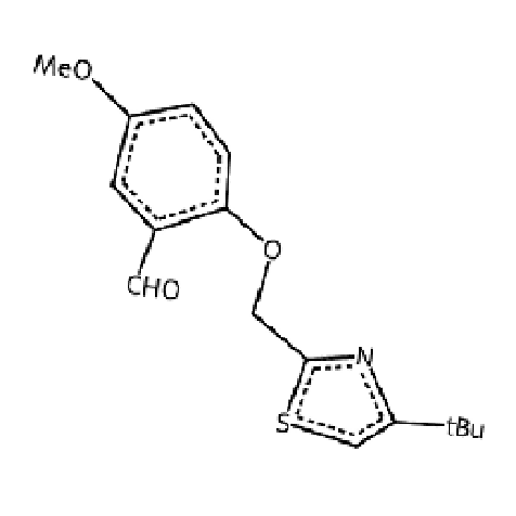 COc1ccc(OCc2nc(C(C)(C)C)cs2)c(C=O)c1